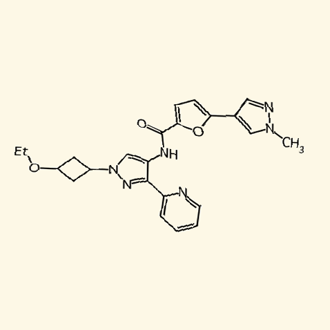 CCOC1CC(n2cc(NC(=O)c3ccc(-c4cnn(C)c4)o3)c(-c3ccccn3)n2)C1